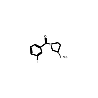 CO[C@@H]1CCN(C(=O)c2cccc(I)c2)C1